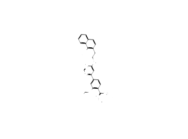 CCOc1cc(-c2cc(NCCc3ccc4ccccc4c3C)ncn2)ccc1C(N)=NO